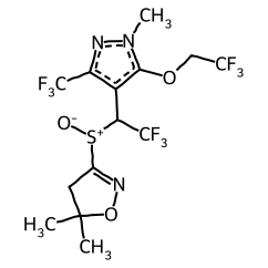 Cn1nc(C(F)(F)F)c(C([S+]([O-])C2=NOC(C)(C)C2)C(F)(F)F)c1OCC(F)(F)F